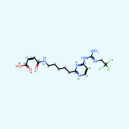 NC(=NCC(F)(F)F)Nc1ccnc(CCCCCNC(=O)/C=C\C(=O)O)n1